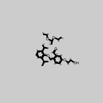 CC(C)c1cccc(C(C)C)c1OCc1ccccc1C=O.CCOC(C)OCC.OCCO